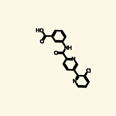 O=C(O)c1cccc(NC(=O)c2ccc(-c3ncccc3Cl)cn2)c1